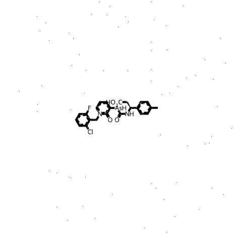 Cc1ccc([C@H](CC(=O)O)NC(=O)[AsH]c2cccn(Cc3c(F)cccc3Cl)c2=O)cc1